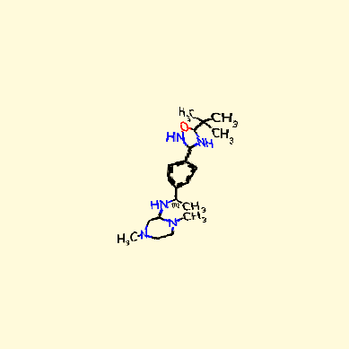 C[C@@H](NC1CN(C)CCN1C)c1ccc(C2NOC(C(C)(C)C)N2)cc1